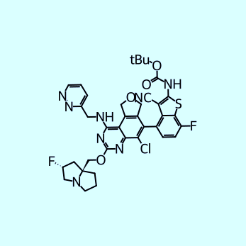 CC(C)(C)OC(=O)Nc1sc2c(F)ccc(-c3c4c(c5c(NCc6cccnn6)nc(OC[C@@]67CCCN6C[C@H](F)C7)nc5c3Cl)COC4)c2c1C#N